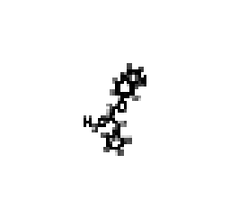 CC(COc1ccn2ccnc2c1)CN1CCCC1